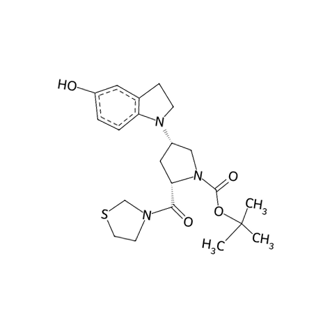 CC(C)(C)OC(=O)N1C[C@@H](N2CCc3cc(O)ccc32)C[C@H]1C(=O)N1CCSC1